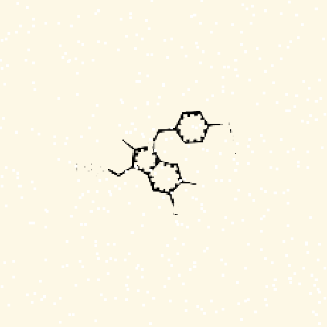 Cc1c(CC(=O)O)c2cc(O)c(F)cc2n1Cc1ccc(OC(F)(F)F)cc1